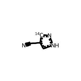 N#Cc1c[nH]n[14cH]1